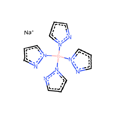 [Na+].c1cnn([B-](n2cccn2)(n2cccn2)n2cccn2)c1